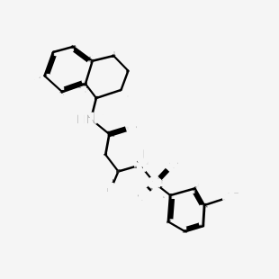 O=C(CC(NS(=O)(=O)c1cccc(C(F)(F)F)c1)C(F)(F)F)NC1CCCc2ccccc21